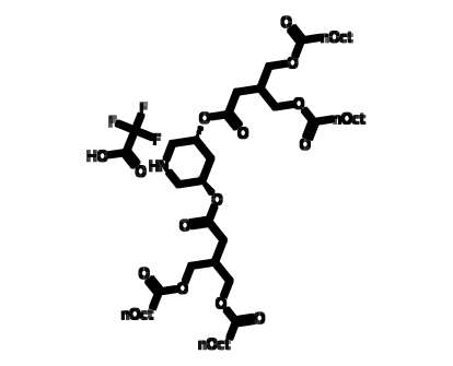 CCCCCCCCC(=O)OCC(COC(=O)CCCCCCCC)CC(=O)O[C@H]1CNC[C@H](OC(=O)CC(COC(=O)CCCCCCCC)COC(=O)CCCCCCCC)C1.O=C(O)C(F)(F)F